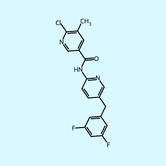 Cc1cc(C(=O)Nc2ccc(Cc3cc(F)cc(F)c3)cn2)cnc1Cl